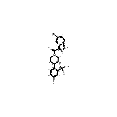 O=C(c1nnc2ccc(Br)cn12)N1CCC(c2ccc(F)cc2C(F)(F)F)CC1